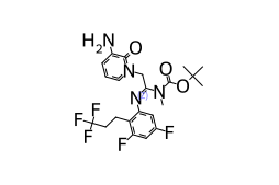 CN(C(=O)OC(C)(C)C)/C(Cn1cccc(N)c1=O)=N\c1cc(F)cc(F)c1CCC(F)(F)F